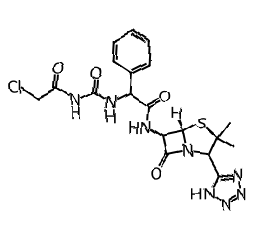 CC1(C)S[C@H]2C(NC(=O)C(NC(=O)NC(=O)CCl)c3ccccc3)C(=O)N2C1c1nnn[nH]1